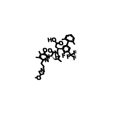 COC1CN(CCc2nn([C@@H](CC(C)C)C(=O)N[C@@H](CC(=O)O)c3cc(-c4c(C)cccc4C)cc(C(F)(F)F)c3F)c(=O)c(C)c2C)C1